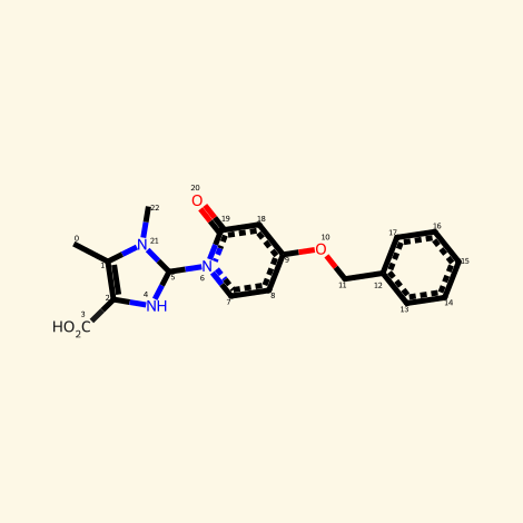 CC1=C(C(=O)O)NC(n2ccc(OCc3ccccc3)cc2=O)N1C